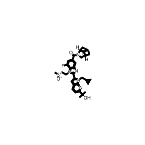 C[S+]([O-])CCn1c(-c2cc3ccc(C(C)(C)O)nc3n2CC2CC2)nc2cc(C(=O)N3C[C@H]4CC5C[C@@H]3[C@H]54)cc(F)c21